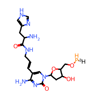 [3H]POCC1OC(n2cc(/C=C/CNC(=O)C(N)Cc3c[nH]cn3)c(N)nc2=O)CC1O